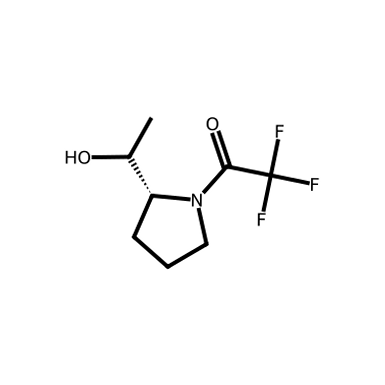 CC(O)[C@H]1CCCN1C(=O)C(F)(F)F